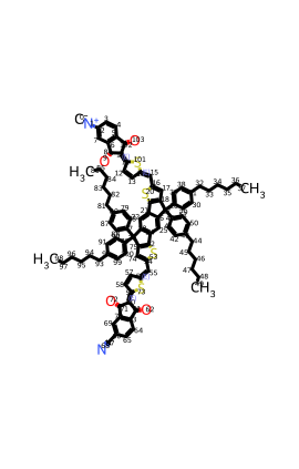 [C-]#[N+]c1ccc2c(c1)C(=O)/C(=c1\cc/c(=C\c3cc4c(s3)-c3cc5c(cc3C4(c3ccc(CCCCCC)cc3)c3ccc(CCCCCC)cc3)-c3sc(/C=c4\cc/c(=C6/C(=O)c7ccc(C#N)cc7C6=O)s4)cc3C5(c3ccc(CCCCCC)cc3)c3ccc(CCCCCC)cc3)s1)C2=O